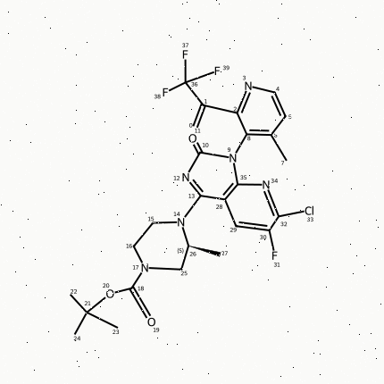 C=C(c1nccc(C)c1-n1c(=O)nc(N2CCN(C(=O)OC(C)(C)C)C[C@@H]2C)c2cc(F)c(Cl)nc21)C(F)(F)F